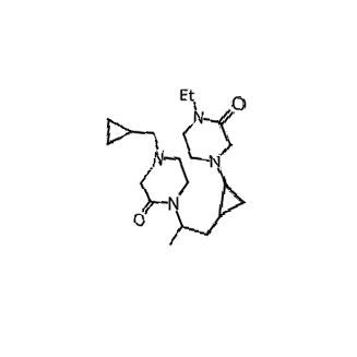 CCN1CCN(C2CC2CC(C)N2CCN(CC3CC3)CC2=O)CC1=O